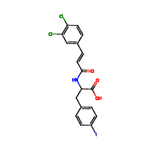 O=C(C=Cc1ccc(Cl)c(Cl)c1)NC(Cc1ccc(I)cc1)C(=O)O